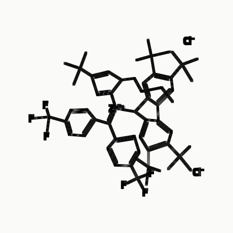 CCCCC1C=C(C(C)(C)C)C=[C]1[Zr+2](=[C](c1ccc(C(F)(F)F)cc1)c1ccc(C(F)(F)F)cc1)[CH]1c2cc(C(C)(C)C)c(C(C)(C)C)cc2-c2cc(C(C)(C)C)c(C(C)(C)C)cc21.[Cl-].[Cl-]